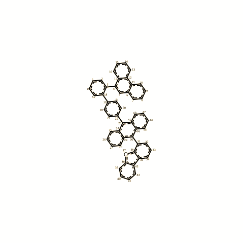 c1ccc(-c2cc3ccccc3c3ccccc23)c(-c2ccc(-c3c4ccccc4c(-c4cccc5c4oc4ccccc45)c4ccccc34)cc2)c1